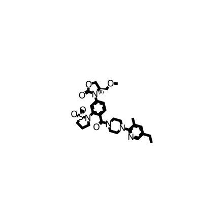 CCc1cnc(N2CCN(C(=O)c3ccc(N4C(=O)OC[C@H]4COC)cc3N3CCCS3(=O)=O)CC2)c(C)c1